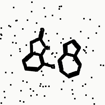 O=C1Cc2cccc(Cl)c2N1.c1ccc2cccc-2cc1